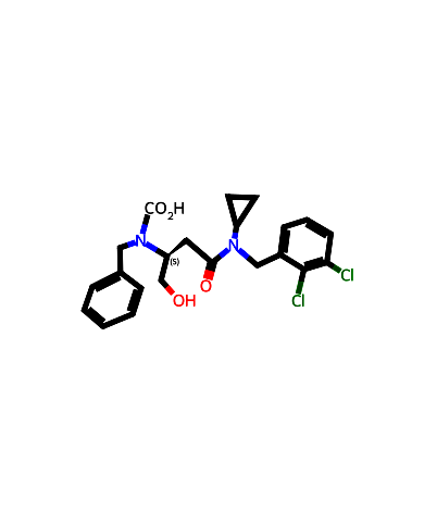 O=C(C[C@@H](CO)N(Cc1ccccc1)C(=O)O)N(Cc1cccc(Cl)c1Cl)C1CC1